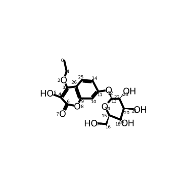 CCOc1c(O)c(=O)oc2cc(O[C@@H]3O[C@H](CO)[C@H](O)[C@H](O)[C@H]3O)ccc12